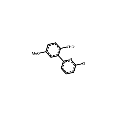 COc1ccc([C]=O)c(-c2cccc(Cl)n2)c1